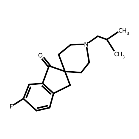 C[C](C)CN1CCC2(CC1)Cc1ccc(F)cc1C2=O